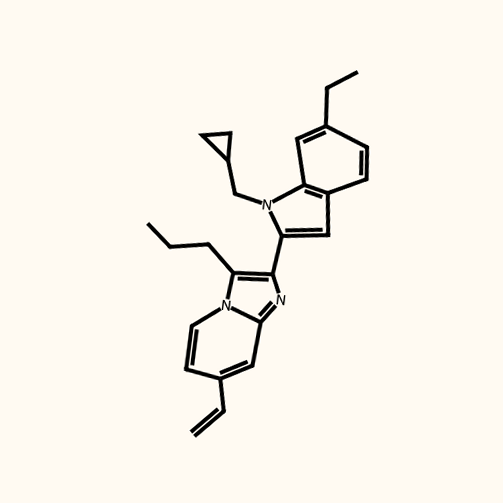 C=Cc1ccn2c(CCC)c(-c3cc4ccc(CC)cc4n3CC3CC3)nc2c1